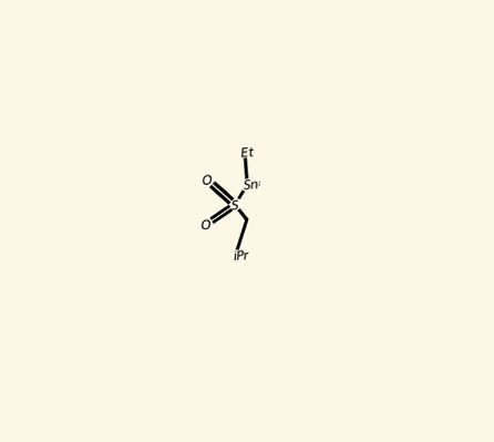 C[CH2][Sn][S](=O)(=O)CC(C)C